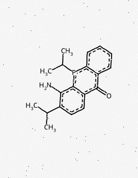 CC(C)c1ccc2c(=O)c3ccccc3p(C(C)C)c2c1N